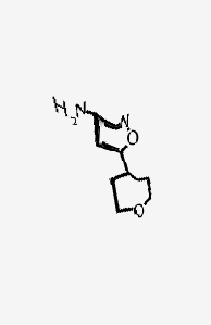 Nc1cc(C2CCOCC2)on1